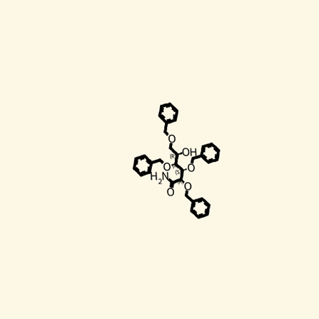 NC(=O)[C@H](OCc1ccccc1)[C@@H](OCc1ccccc1)[C@H](OCc1ccccc1)[C@H](O)COCc1ccccc1